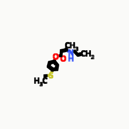 C=CCN/C(C)=C\C(=O)Oc1ccc(SCC)cc1